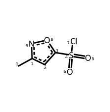 Cc1cc(S(=O)(=O)Cl)on1